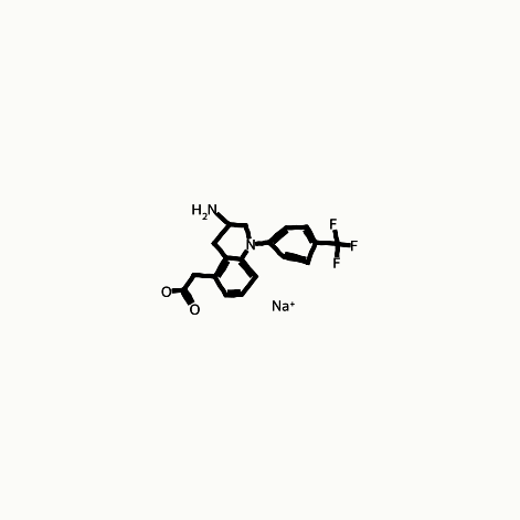 NC1Cc2c(CC(=O)[O-])cccc2N(c2ccc(C(F)(F)F)cc2)C1.[Na+]